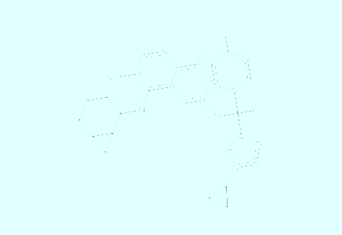 [2H]C(Nc1cc(Cl)c2ncc(C#N)c(NC3CCCC4CC43)c2c1)(c1ccc(F)cc1)c1cn(C2CC2)nn1